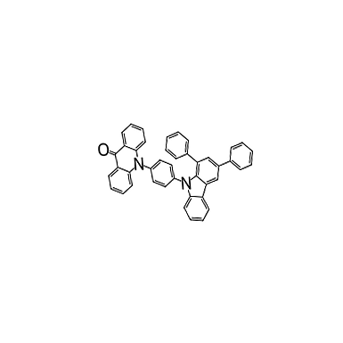 O=c1c2ccccc2n(-c2ccc(-n3c4ccccc4c4cc(-c5ccccc5)cc(-c5ccccc5)c43)cc2)c2ccccc12